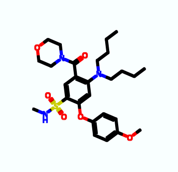 CCCCN(CCCC)c1cc(Oc2ccc(OC)cc2)c(S(=O)(=O)NC)cc1C(=O)N1CCOCC1